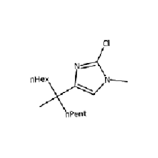 CCCCCCC(C)(CCCCC)c1cn(C)c(Cl)n1